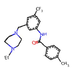 CCN1CCN(Cc2cc(NC(=O)c3[c]cc(C)cc3)cc(C(F)(F)F)c2)CC1